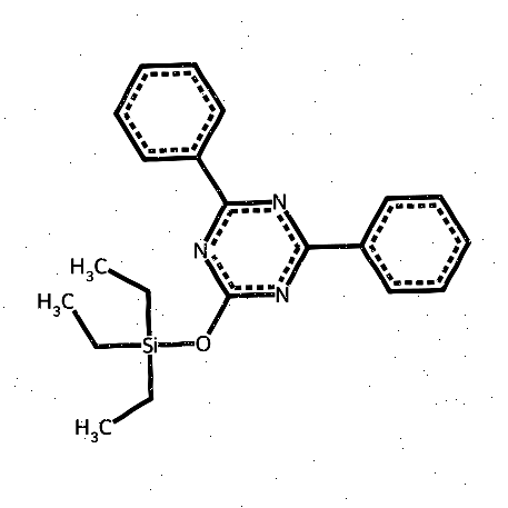 CC[Si](CC)(CC)Oc1nc(-c2ccccc2)nc(-c2ccccc2)n1